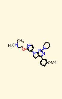 COc1cccc(-c2nc(N3CCCCC3)nc3c2CCN3c2ccnc(OCCN(C)C)c2)c1